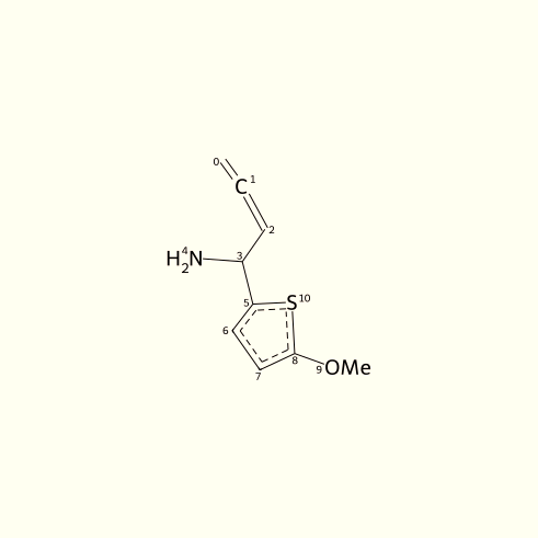 C=C=CC(N)c1ccc(OC)s1